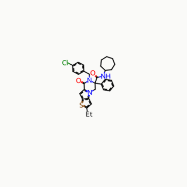 CCc1cc2c(cc3n2CC(C(=O)NC2CCCCCC2)(c2ccccc2)N(Cc2ccc(Cl)cc2)C3=O)s1